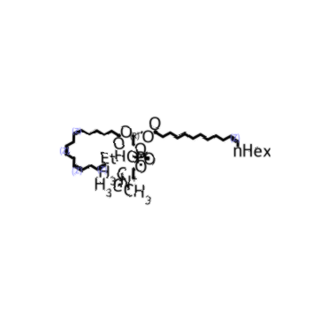 CC/C=C\C/C=C\C/C=C\C/C=C\CCCCC(=O)O[C@H](COC(=O)CCCCCCCCC/C=C\CCCCCC)COP(=O)(O)OCC[N+](C)(C)C